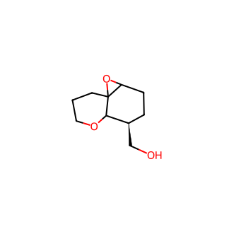 OC[C@@H]1CCC2OC23CCCOC13